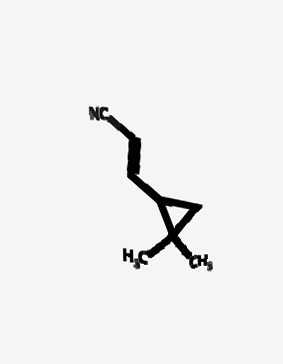 CC1(C)CC1C=CC#N